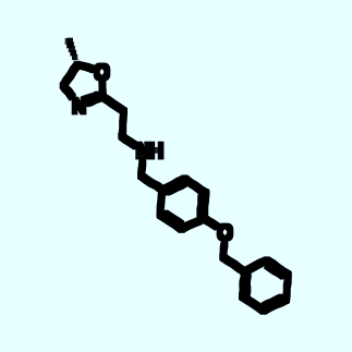 C[C@H]1CN=C(CCNCc2ccc(OCc3ccccc3)cc2)O1